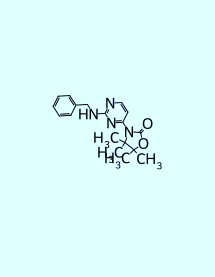 CC1(C)OC(=O)N(c2ccnc(NCc3ccccc3)n2)C1(C)C